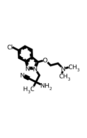 CN(C)CCOc1c2ccc(Cl)cc2nn1CC(C)(N)C#N